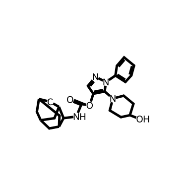 O=C(NC1C2CC3CC(C2)CC1C3)Oc1cnn(-c2ccccc2)c1N1CCC(O)CC1